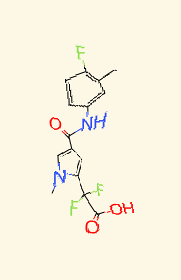 Cc1cc(NC(=O)c2cc(C(F)(F)C(=O)O)n(C)c2)ccc1F